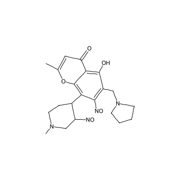 Cc1cc(=O)c2c(O)c(CN3CCCC3)c(N=O)c(C3CCN(C)CC3N=O)c2o1